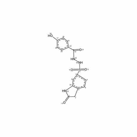 O=C1Cc2ccc(S(=O)(=O)NNC(=O)c3ccc(O)cc3)cc2N1